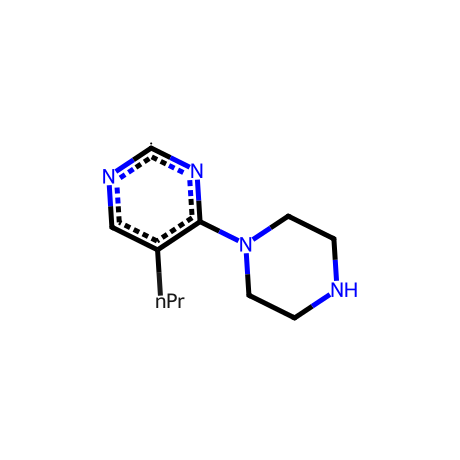 CCCc1cn[c]nc1N1CCNCC1